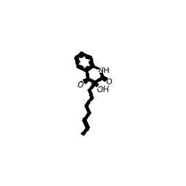 CCCCCCCC1(O)C(=O)Nc2ccccc2C1=O